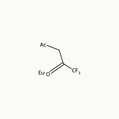 CC(=O)CC(=O)C(F)(F)F.[Eu]